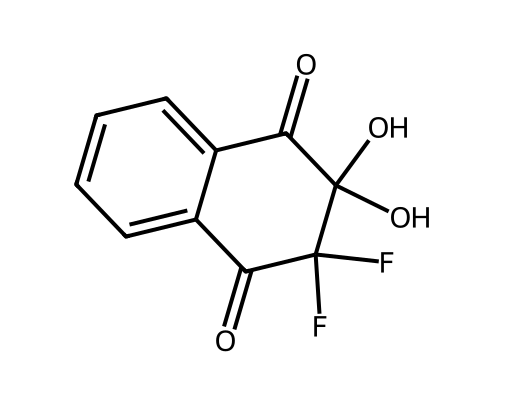 O=C1c2ccccc2C(=O)C(F)(F)C1(O)O